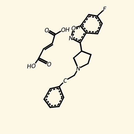 Fc1ccc2c(C3CCN(CCc4ccccc4)C3)noc2c1.O=C(O)/C=C/C(=O)O